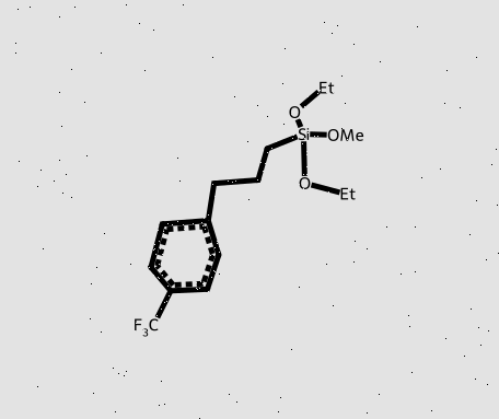 CCO[Si](CCCc1ccc(C(F)(F)F)cc1)(OC)OCC